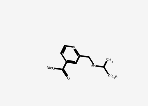 COC(=O)c1ccnc(CNC(C)C(=O)O)c1